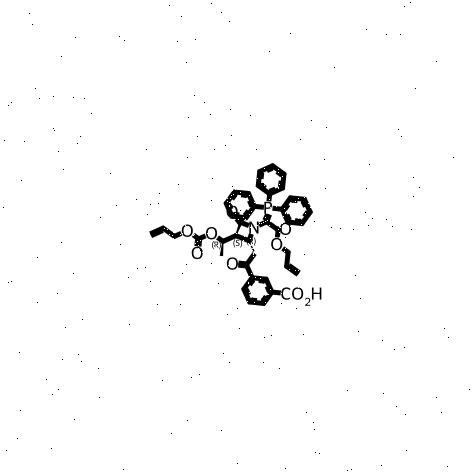 C=CCOC(=O)O[C@H](C)[C@H]1C(=O)N(C(C(=O)OCC=C)=P(c2ccccc2)(c2ccccc2)c2ccccc2)[C@@H]1CC(=O)c1cccc(C(=O)O)c1